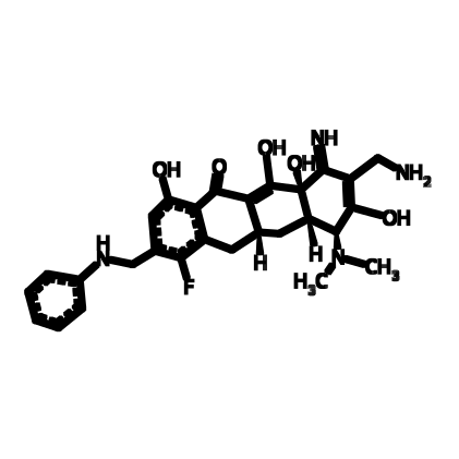 CN(C)[C@@H]1C(O)=C(CN)C(=N)[C@@]2(O)C(O)=C3C(=O)c4c(O)cc(CNc5ccccc5)c(F)c4C[C@H]3C[C@@H]12